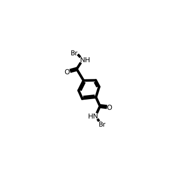 O=C(NBr)c1ccc(C(=O)NBr)cc1